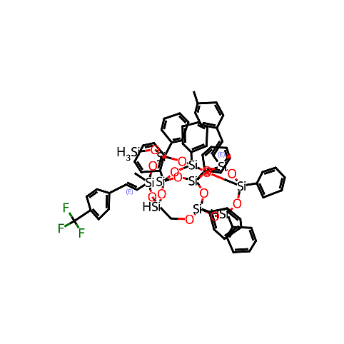 Cc1ccc(/C=C/[Si]2(C)O[Si]3(c4ccccc4)O[SiH](c4ccccc4)O[Si]4(c5ccccc5)OC[SiH]5O[Si](C)(/C=C/c6ccc(C(F)(F)F)cc6)O[Si](O[SiH3])(c6ccccc6)O[Si](c6ccccc6)(O3)O[Si](c3ccccc3)(O5)O[Si](c3ccccc3)(O2)O4)cc1